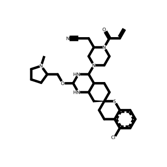 C=CC(=O)N1CCN(C2NC(OCC3CCCN3C)NC3C[C@@]4(CCc5c(Cl)cccc5S4)CCC32)CC1CC#N